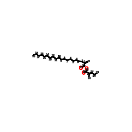 C=C(CCCCCCCCCCCCCCCCCC)C(=O)OC(=O)C(C)=CCC